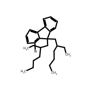 CCCCC(CC)CC1(CC(CC)CCCC)c2ccccc2-c2cccc(Br)c21